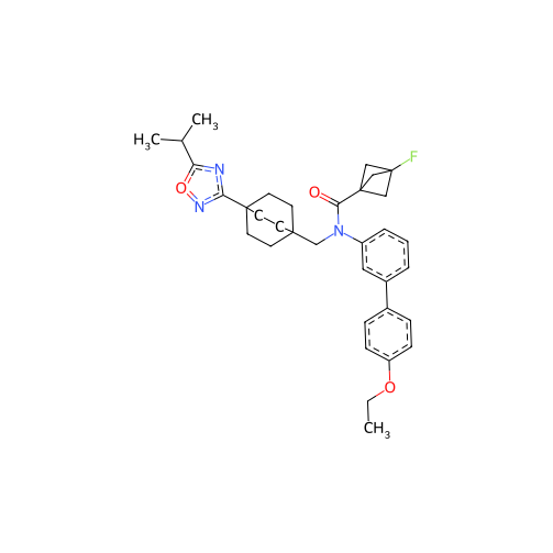 CCOc1ccc(-c2cccc(N(CC34CCC(c5noc(C(C)C)n5)(CC3)CC4)C(=O)C34CC(F)(C3)C4)c2)cc1